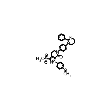 COc1ccc(-n2nc(S(C)(=O)=O)c3c2C(=O)N(c2ccc(N4CCCN=C4c4ccccc4)cc2)CC3)cc1